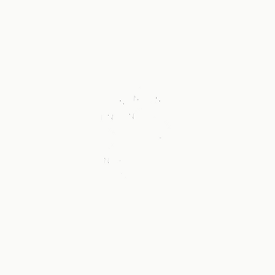 O=C1Cc2cc(Nc3nc4c(-c5ccccc5)nccn4n3)ccc2N1